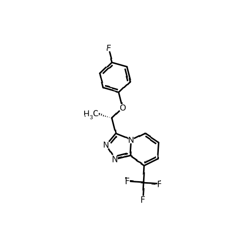 C[C@H](Oc1ccc(F)cc1)c1nnc2c(C(F)(F)F)cccn12